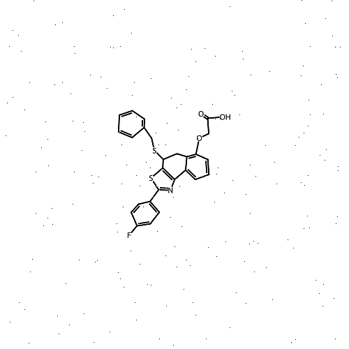 O=C(O)COc1cccc2c1CC(SCc1ccccc1)c1sc(-c3ccc(F)cc3)nc1-2